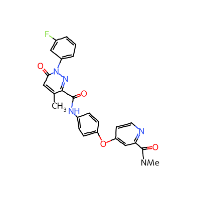 CNC(=O)c1cc(Oc2ccc(NC(=O)c3nn(-c4cccc(F)c4)c(=O)cc3C)cc2)ccn1